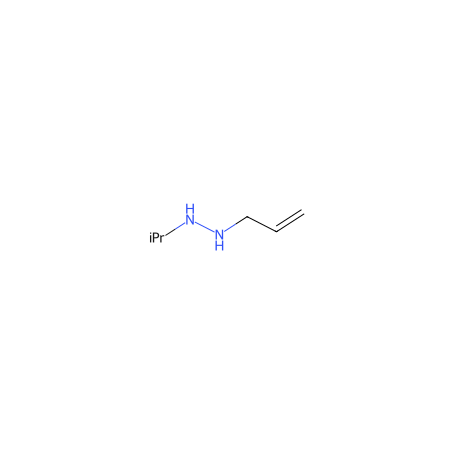 C=CCNNC(C)C